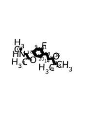 CCNCC(C)Oc1ccc(F)c(CCC(=O)C(C)C)c1